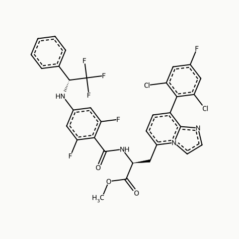 COC(=O)[C@H](Cc1ccc(-c2c(Cl)cc(F)cc2Cl)c2nccn12)NC(=O)c1c(F)cc(N[C@H](c2ccccc2)C(F)(F)F)cc1F